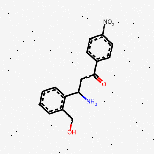 NC(CC(=O)c1ccc([N+](=O)[O-])cc1)c1ccccc1CO